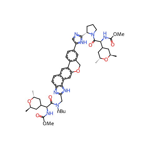 CCCCN(Cc1nc2ccc3cc4c(cc3c2[nH]1)OCc1cc(-c2cnc([C@@H]3CCCN3C(=O)[C@@H](NC(=O)OC)C3C[C@@H](C)O[C@H](C)C3)[nH]2)ccc1-4)C(=O)[C@@H](NC(=O)OC)C1C[C@@H](C)O[C@H](C)C1